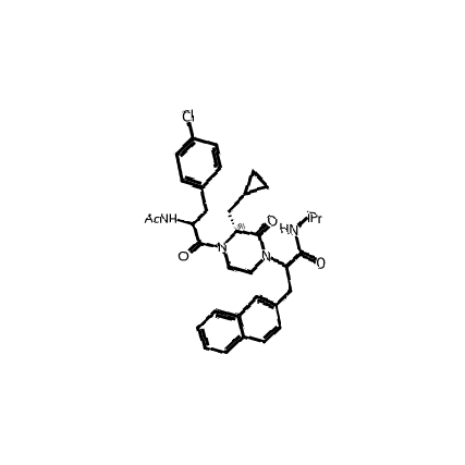 CC(=O)NC(Cc1ccc(Cl)cc1)C(=O)N1CCN(C(Cc2ccc3ccccc3c2)C(=O)NC(C)C)C(=O)[C@H]1CC1CC1